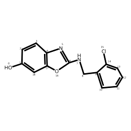 Oc1ccc2nc(NCc3ccccc3Cl)oc2c1